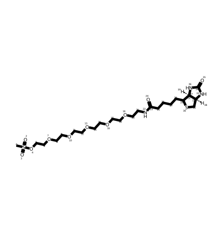 CS(=O)(=O)OCCOCCOCCOCCOCCOCCNC(=O)CCCCC1SC[C@@H]2NC(=O)N[C@H]12